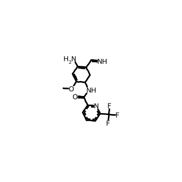 COC1=CC(N)=C(C=N)CC1NC(=O)c1cccc(C(F)(F)F)n1